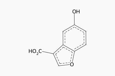 O=C(O)c1coc2ccc(O)cc12